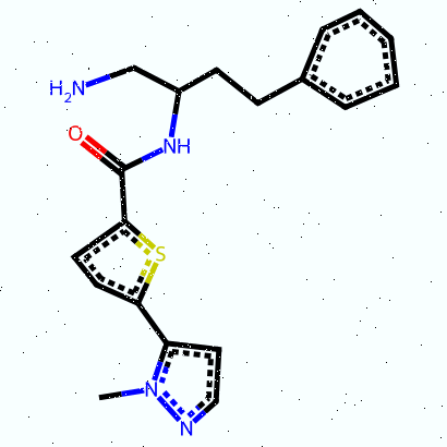 Cn1nccc1-c1ccc(C(=O)NC(CN)CCc2ccccc2)s1